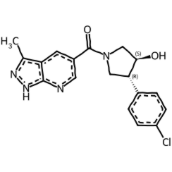 Cc1n[nH]c2ncc(C(=O)N3C[C@@H](O)[C@H](c4ccc(Cl)cc4)C3)cc12